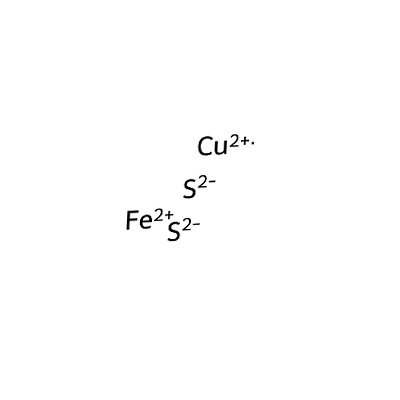 [Cu+2].[Fe+2].[S-2].[S-2]